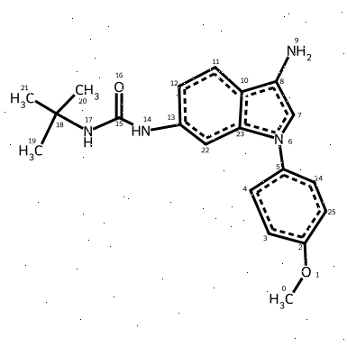 COc1ccc(-n2cc(N)c3ccc(NC(=O)NC(C)(C)C)cc32)cc1